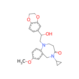 COc1ccc2c(c1)CN(C1CC1)C(=O)CCN2CC(O)c1ccc2c(c1)OCCO2